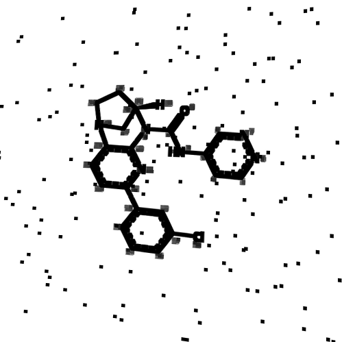 O=C(Nc1ccnnc1)N1c2nc(-c3cccc(Cl)c3)ccc2N2CC[C@H]1C2